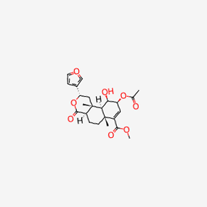 COC(=O)C1=C[C@H](OC(C)=O)[C@H](O)[C@@H]2[C@@]3(C)C[C@@H](c4ccoc4)OC(=O)[C@@H]3CC[C@@]12C